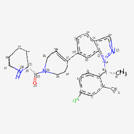 C[C@H](c1ccc(Cl)cc1C(F)(F)F)n1ncc2ccc(C3=CCN(C(=O)[C@H]4CCCCN4)CC3)cc21